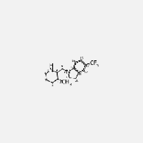 CC1CCCNC1CN1CCc2cc(C(F)(F)F)ccc21